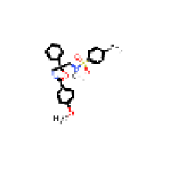 COc1ccc(C2=NCC(CN(C)S(=O)(=O)c3ccc(C)cc3)(c3ccccc3)O2)cc1